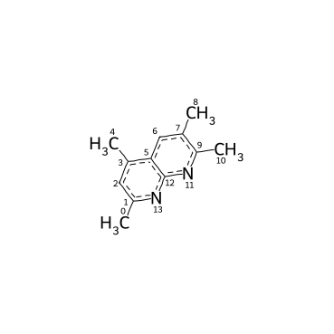 Cc1cc(C)c2cc(C)c(C)nc2n1